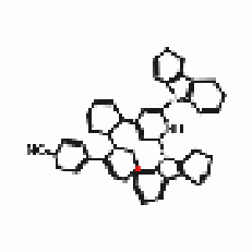 N#CC1C=CC(C2=CCCCC2C2C=CC=CC2C2=CC(n3c4c(c5ccccc53)C=CCC4)NC(n3c4c(c5c3C=CCC5)CCC=C4)=C2)=CC1